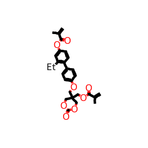 C=C(C)C(=O)OCC1(COc2ccc(-c3ccc(OC(=O)C(=C)C)cc3CC)cc2)COC(=O)OC1